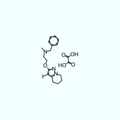 CN(CCOc1nn2c(c1I)CCCC2)Cc1ccccc1.O=C(O)C(=O)O